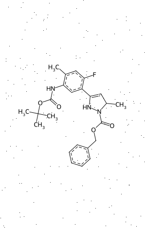 Cc1cc(F)c(C2=CC(C)N(C(=O)OCc3ccccc3)N2)cc1NC(=O)OC(C)(C)C